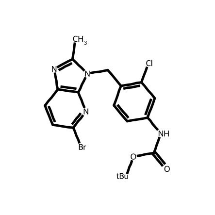 Cc1nc2ccc(Br)nc2n1Cc1ccc(NC(=O)OC(C)(C)C)cc1Cl